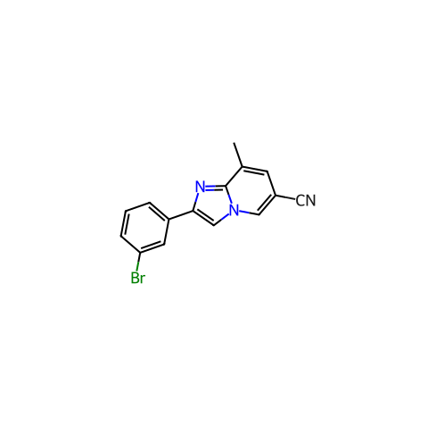 Cc1cc(C#N)cn2cc(-c3cccc(Br)c3)nc12